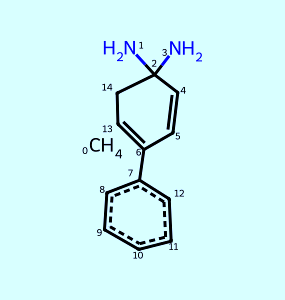 C.NC1(N)C=CC(c2ccccc2)=CC1